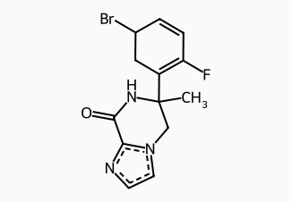 CC1(C2=C(F)C=CC(Br)C2)Cn2ccnc2C(=O)N1